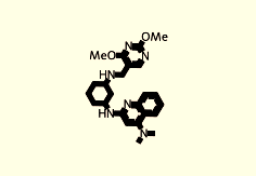 COc1ncc(CNC2CCCC(Nc3cc(N(C)C)c4ccccc4n3)C2)c(OC)n1